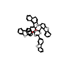 c1ccc2cc3c(cc2c1)c1c2ccccc2ccc1n3-c1ccc2oc3ccccc3c2c1-c1nc(-c2ccc3c(c2)oc2ccccc23)nc(-c2ccc3c(c2)oc2ccccc23)n1